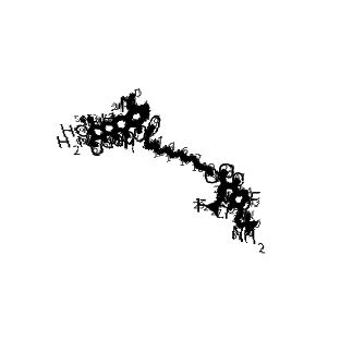 CN(C)c1ccc(OC(=O)CCCCCCCCCCOC(=O)c2cn(C3C[C@@H]3F)c3c(Cl)c(N4C[C@@H](N)C5(CC5)C4)c(F)cc3c2=O)c2c1C[C@@H]1C[C@@H]3[C@@H](N(C)C)C(O)=C(C(N)=O)C(=O)[C@]3(O)C(O)=C1C2=O